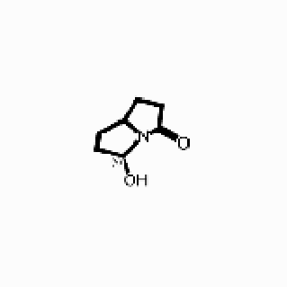 O=C1CCC2CC[C@H](O)N12